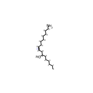 CCCCCCC(O)C/C=C\CCCCCCCN